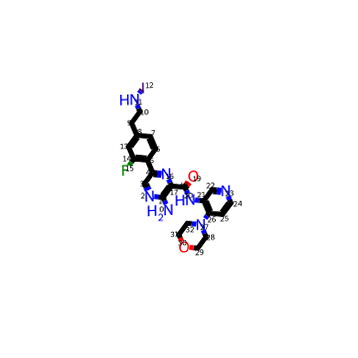 Nc1ncc(-c2ccc(CCNI)cc2F)nc1C(=O)Nc1cnccc1N1CCOCC1